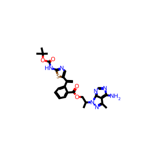 C=C(c1cnc(NC(=O)OC(C)(C)C)s1)c1ccccc1C(=O)OCC(C)n1nc(C)c2c(N)ncnc21